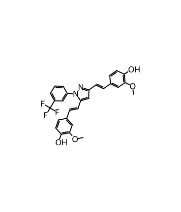 COc1cc(/C=C/c2cc(/C=C/c3ccc(O)c(OC)c3)n(-c3cccc(C(F)(F)F)c3)n2)ccc1O